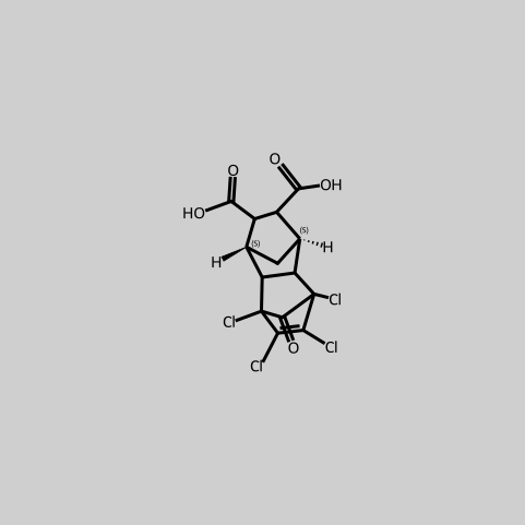 O=C(O)C1C(C(=O)O)[C@@H]2C[C@@H]1C1C2C2(Cl)C(=O)C1(Cl)C(Cl)=C2Cl